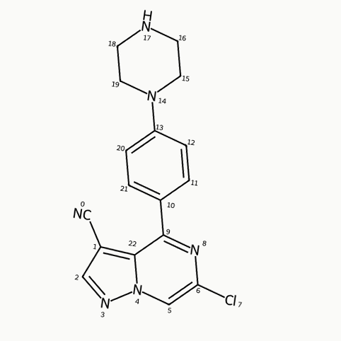 N#Cc1cnn2cc(Cl)nc(-c3ccc(N4CCNCC4)cc3)c12